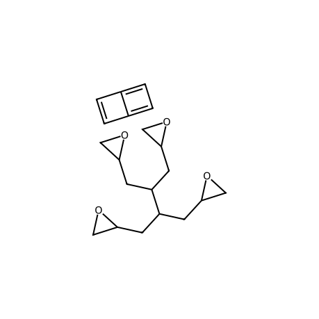 C1OC1CC(CC1CO1)C(CC1CO1)CC1CO1.c1cc2ccc1-2